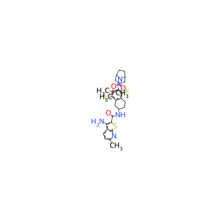 Cc1ccc2c(N)c(C(=O)N[C@@H]3CCc4c(F)c(N5CC6CCC(C5)N6C(=O)OC(C)(C)C)cc(F)c4C3)sc2n1